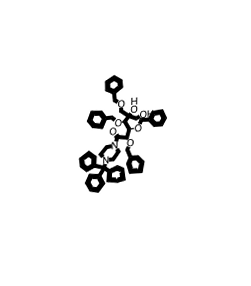 O=C([C@H](OCc1ccccc1)[C@@H](OCc1ccccc1)[C@H](OCc1ccccc1)C(O)(CO)COCc1ccccc1)N1CCN(C(c2ccccc2)(c2ccccc2)c2ccccc2)CC1